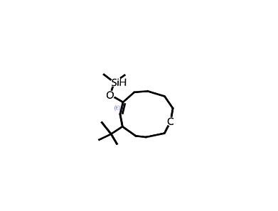 C[SiH](C)O/C1=C/C(C(C)(C)C)CCCCCCCC1